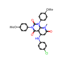 COc1ccc(-n2c(=O)c3c(Nc4ccc(Cl)cc4)cc(=O)n(C)c3n(-c3ccc(OC)cc3)c2=O)cc1